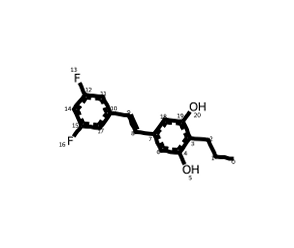 CCCc1c(O)cc(C=Cc2cc(F)cc(F)c2)cc1O